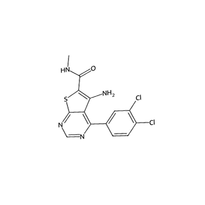 CNC(=O)c1sc2ncnc(-c3ccc(Cl)c(Cl)c3)c2c1N